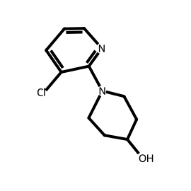 OC1CCN(c2ncccc2Cl)CC1